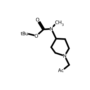 CC(=O)CN1CCC(N(C)C(=O)OC(C)(C)C)CC1